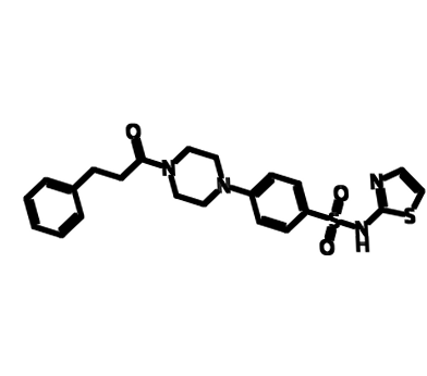 O=C(CCc1ccccc1)N1CCN(c2ccc(S(=O)(=O)Nc3nccs3)cc2)CC1